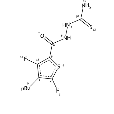 CCCCc1c(F)sc(C(=O)NNC(N)=S)c1F